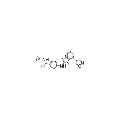 O=C(NC1CC1)c1ccc(Nc2nc3c(-c4cnoc4)cccn3n2)cc1